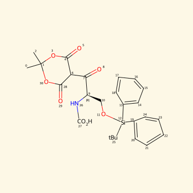 CC1(C)OC(=O)C(C(=O)[C@@H](CO[Si](c2ccccc2)(c2ccccc2)C(C)(C)C)NC(=O)O)C(=O)O1